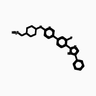 O=C(O)CC1CCC(Oc2ccc(-c3ccc(-c4ncc(-c5ccccc5)[nH]4)c(F)c3)cn2)CC1